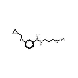 CCCOCCCN[S+]([O-])c1cccc(OCC2CC2)c1